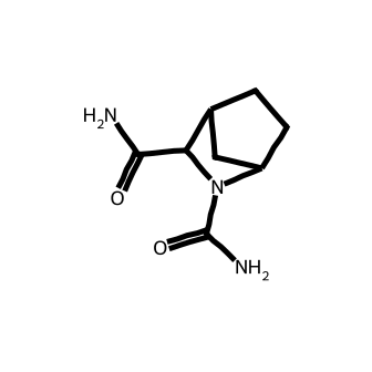 NC(=O)C1C2CCC(C2)N1C(N)=O